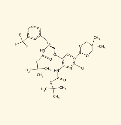 CC1(C)COB(c2cc(OC[C@H](Cc3cccc(C(F)(F)F)c3)NC(=O)OC(C)(C)C)c(NC(=O)OC(C)(C)C)nc2Cl)OC1